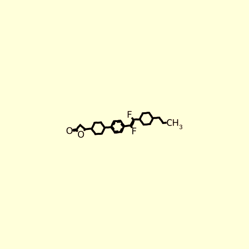 CCCC1CCC(/C(F)=C(\F)c2ccc(C3CCC(C4CC(=O)O4)CC3)cc2)CC1